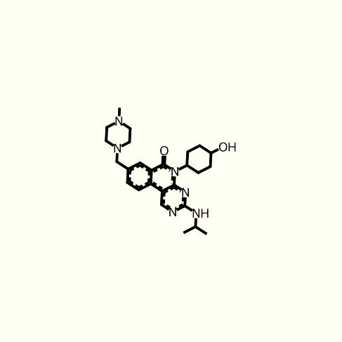 CC(C)Nc1ncc2c3ccc(CN4CCN(C)CC4)cc3c(=O)n(C3CCC(O)CC3)c2n1